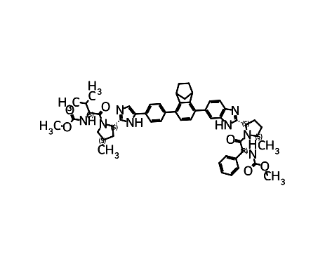 COC(=O)N[C@H](C(=O)N1C[C@@H](C)C[C@H]1c1ncc(-c2ccc(-c3ccc(-c4ccc5nc([C@@H]6CC[C@H](C)N6C(=O)[C@H](NC(=O)OC)c6ccccc6)[nH]c5c4)c4c3C3CCC4C3)cc2)[nH]1)C(C)C